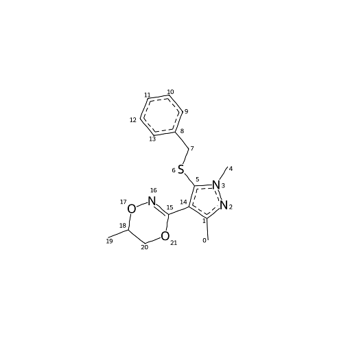 Cc1nn(C)c(SCc2ccccc2)c1C1=NOC(C)CO1